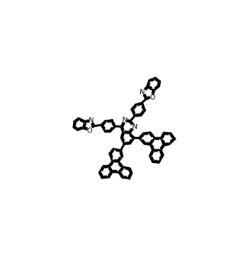 c1ccc2oc(-c3ccc(-c4nc(-c5ccc(-c6nc7ccccc7o6)cc5)c5cc(-c6ccc7c8ccccc8c8ccccc8c7c6)cc(-c6ccc7c8ccccc8c8ccccc8c7c6)c5n4)cc3)nc2c1